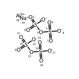 O=S(=O)([O-])OS(=O)(=O)[O-].O=S(=O)([O-])OS(=O)(=O)[O-].[Al+3].[Na+]